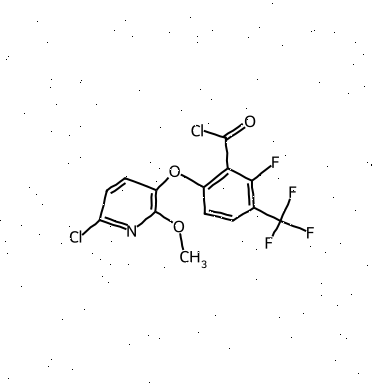 COc1nc(Cl)ccc1Oc1ccc(C(F)(F)F)c(F)c1C(=O)Cl